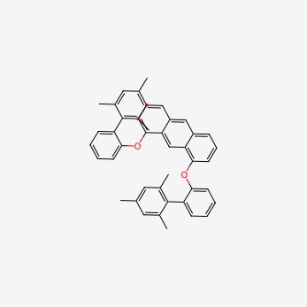 Cc1cc(C)c(-c2ccccc2Oc2cccc3cc4cccc(Oc5ccccc5-c5c(C)cc(C)cc5C)c4cc23)c(C)c1